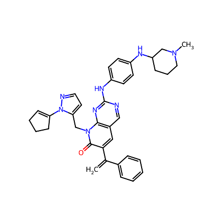 C=C(c1ccccc1)c1cc2cnc(Nc3ccc(NC4CCCN(C)C4)cc3)nc2n(Cc2ccnn2C2=CCCC2)c1=O